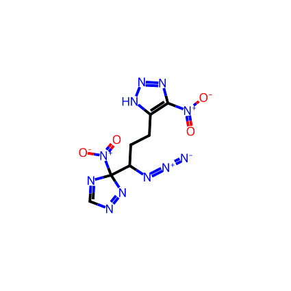 [N-]=[N+]=NC(CCc1[nH]nnc1[N+](=O)[O-])C1([N+](=O)[O-])N=CN=N1